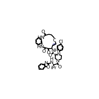 CC(C)C(Nc1nc2ccccc2o1)C(=O)N1CCN(c2ccc(Cl)cc2)[C@@H](C(=O)NC2/C=C/CCCCC(=O)Nc3ccccc3NC(=O)C2=O)C1